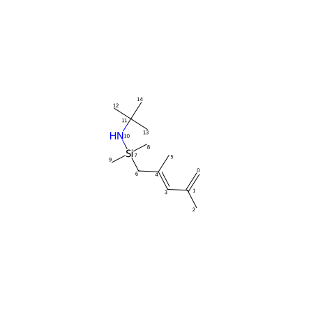 C=C(C)/C=C(\C)C[Si](C)(C)NC(C)(C)C